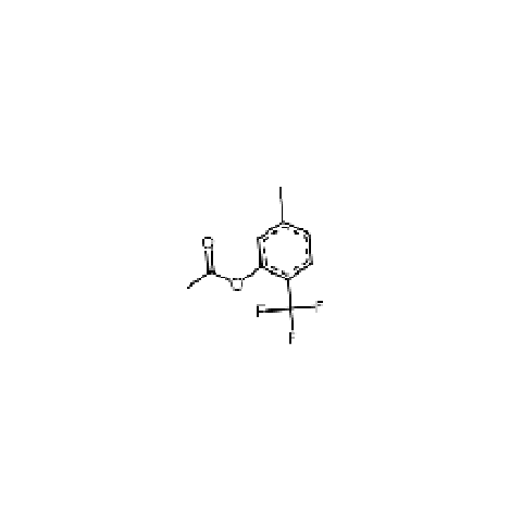 CC(=O)Oc1cc(I)ccc1C(F)(F)F